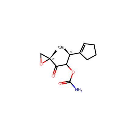 CC(C)(C)[C@@H](C1=CCCC1)C(OC(N)=O)C(=O)[C@@]1(C)CO1